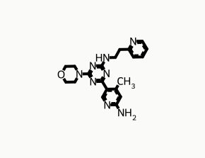 Cc1cc(N)ncc1-c1nc(NCCc2ccccn2)nc(N2CCOCC2)n1